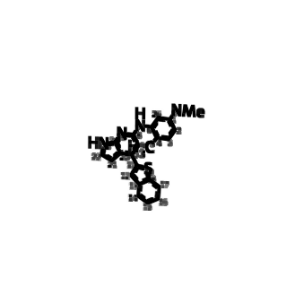 CNc1ccc(C)c(Nc2cc(-c3cc4ccccc4s3)c3cc[nH]c3n2)c1